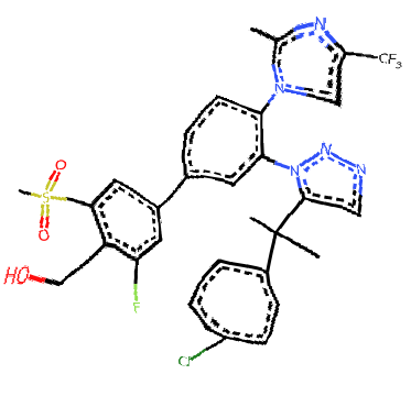 Cc1nc(C(F)(F)F)cn1-c1ccc(-c2cc(F)c(CO)c(S(C)(=O)=O)c2)cc1-n1nncc1C(C)(C)c1ccc(Cl)cc1